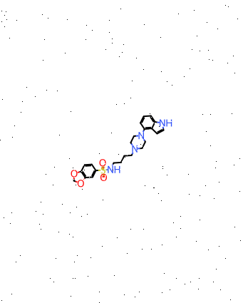 O=S(=O)(NCCCCN1CCN(c2cccc3[nH]ccc23)CC1)c1ccc2c(c1)OCO2